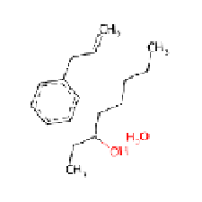 C=CCc1ccccc1.CCCCCC(O)CC.O